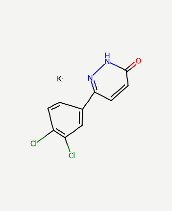 O=c1ccc(-c2ccc(Cl)c(Cl)c2)n[nH]1.[K]